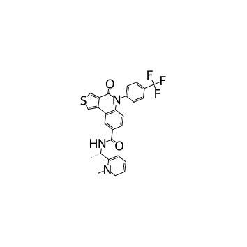 C[C@H](NC(=O)c1ccc2c(c1)c1cscc1c(=O)n2-c1ccc(C(F)(F)F)cc1)C1=CC=CCN1C